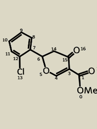 COC(=O)C1=COC(c2ccccc2Cl)CC1=O